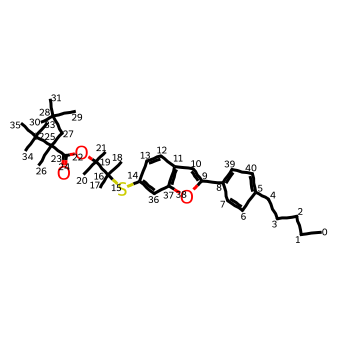 CCCCCc1ccc(-c2cc3ccc(SC(C)(C)C(C)(C)OC(=O)C(C)(CC(C)(C)C)C(C)(C)C)cc3o2)cc1